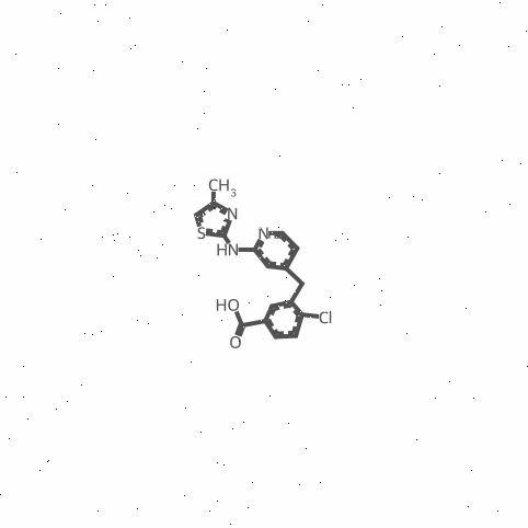 Cc1csc(Nc2cc(Cc3cc(C(=O)O)ccc3Cl)ccn2)n1